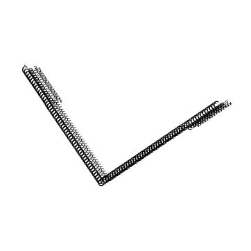 [Ce+3].[Ce+3].[Ce+3].[Ce+3].[Ce+3].[Ce+3].[Ce+3].[Ce+3].[Ce+3].[Ce+3].[Ce+3].[Ce+3].[Ce+3].[Ce+3].[Ce+3].[Ce+3].[Ce+3].[Ce+3].[Ce+3].[Ce+3].[Ce+3].[Ce+3].[Ce+3].[Ce+3].[Ce+3].[Ce+3].[Ce+3].[Ce+3].[Ce+3].[Ce+3].[O-2].[O-2].[O-2].[O-2].[O-2].[O-2].[O-2].[O-2].[O-2].[O-2].[O-2].[O-2].[O-2].[O-2].[O-2].[O-2].[O-2].[O-2].[O-2].[O-2].[O-2].[O-2].[O-2].[O-2].[O-2].[O-2].[O-2].[O-2].[O-2].[O-2].[O-2].[O-2].[O-2].[O-2].[O-2].[O-2].[O-2].[O-2].[O-2].[O-2].[O-2].[O-2].[O-2].[O-2].[O-2].[O-2].[O-2].[O-2].[O-2].[O-2].[O-2].[O-2].[O-2].[O-2].[O-2].[O-2].[O-2].[O-2].[O-2].[O-2].[O-2].[O-2].[O-2].[O-2].[O-2].[O-2].[O-2].[O-2].[O-2].[O-2]